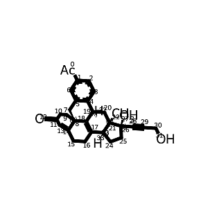 CC(=O)c1ccc2c(c1)C[C@]13CCC(=O)C=C1CCC1=C3[C@@H]2C[C@@]2(C)[C@H]1CC[C@@]2(O)C#CCO